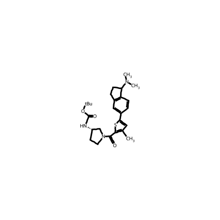 Cc1cc(-c2ccc3c(c2)CCC3N(C)C)sc1C(=O)N1CC[C@H](NC(=O)OC(C)(C)C)C1